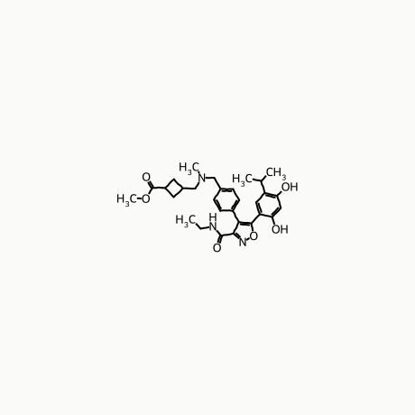 CCNC(=O)c1noc(-c2cc(C(C)C)c(O)cc2O)c1-c1ccc(CN(C)CC2CC(C(=O)OC)C2)cc1